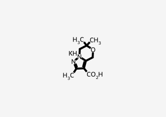 Cc1nn2c(c1C(=O)O)COC(C)(C)C2.[KH]